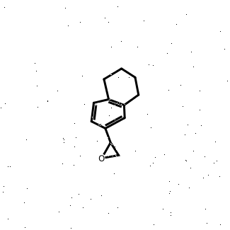 c1cc2c(cc1C1CO1)CCCC2